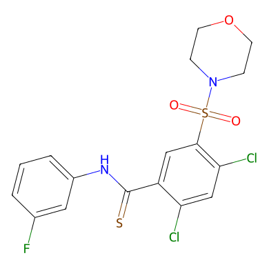 O=S(=O)(c1cc(C(=S)Nc2cccc(F)c2)c(Cl)cc1Cl)N1CCOCC1